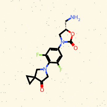 NC[C@H]1CN(c2cc(F)c(N3CC(=O)C4(CC4)C3)c(F)c2)C(=O)O1